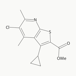 COC(=O)c1sc2nc(C)c(Cl)c(C)c2c1C1CC1